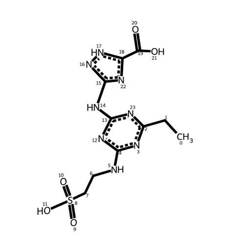 CCc1nc(NCCS(=O)(=O)O)nc(Nc2n[nH]c(C(=O)O)n2)n1